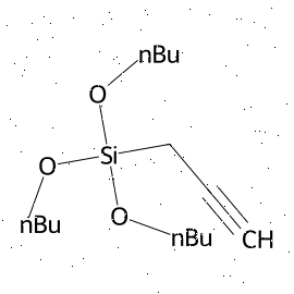 C#CC[Si](OCCCC)(OCCCC)OCCCC